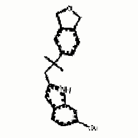 CC(C)(C)c1ccc2cc(CC(C)(C)c3ccc4c(c3)COC4)[nH]c2c1